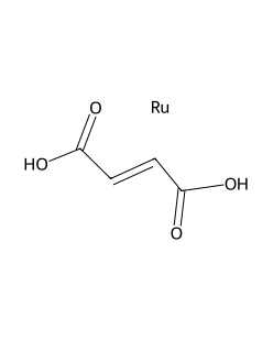 O=C(O)C=CC(=O)O.[Ru]